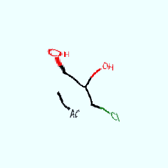 CC(C)=O.OCC(O)CCl